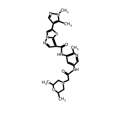 Cc1ncc(NC(=O)CN2CC(C)OC(C)C2)cc1NC(=O)c1cnn2cc(-c3cnn(C)c3C)sc12